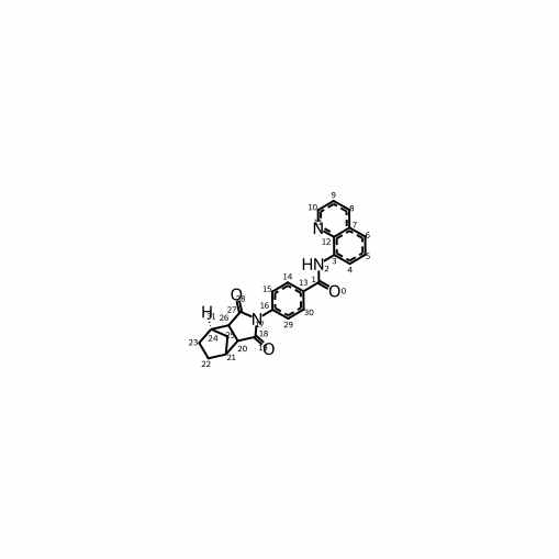 O=C(Nc1cccc2cccnc12)c1ccc(N2C(=O)C3C4CC[C@H](C4)C3C2=O)cc1